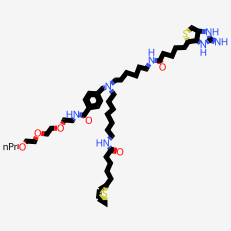 CCCOCCOCCOCCNC(=O)c1ccc(CN(CCCCCCCNC(=O)CCCCC2C3C4CS243)CCCCCCNC(=O)CCCCC2SCC3NC(=N)NC32)cc1